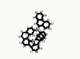 c1ccc(N(c2ccc3c(c2)-c2c(ccc4c5cccc6c7ccccc7n(c24)c65)CC3)c2cc3ccccc3c3ccccc23)cc1